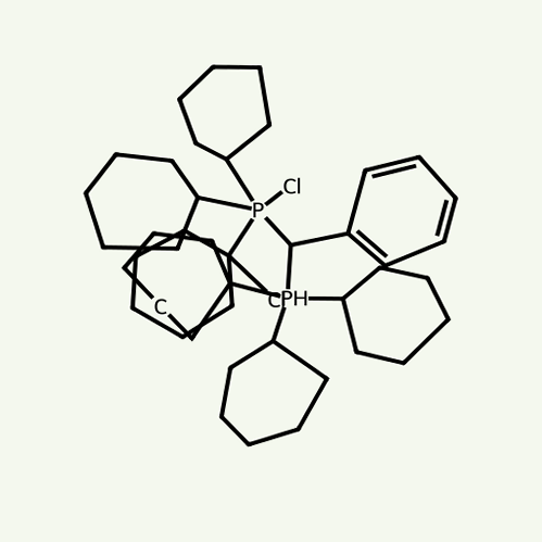 ClC1(P(Cl)(C2CCCCC2)(C2CCCCC2)C(c2ccccc2)[PH](C2CCCCC2)(C2CCCCC2)C2CCCCC2)CCCCC1